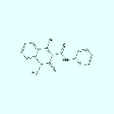 Cn1c(=O)c(C(=O)Nc2ccccc2)c(Br)c2ccccc21